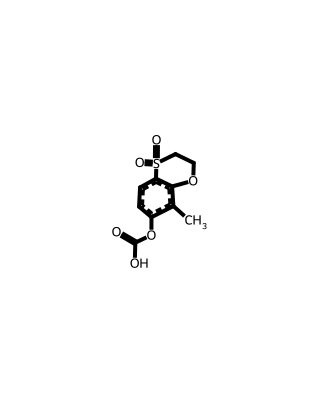 Cc1c(OC(=O)O)ccc2c1OCCS2(=O)=O